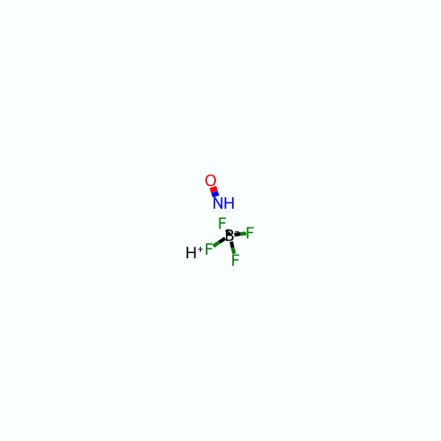 F[B-](F)(F)F.N=O.[H+]